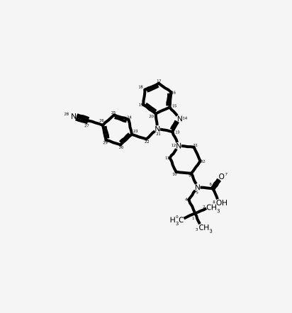 CC(C)(C)CN(C(=O)O)C1CCN(c2nc3ccccc3n2Cc2ccc(C#N)cc2)CC1